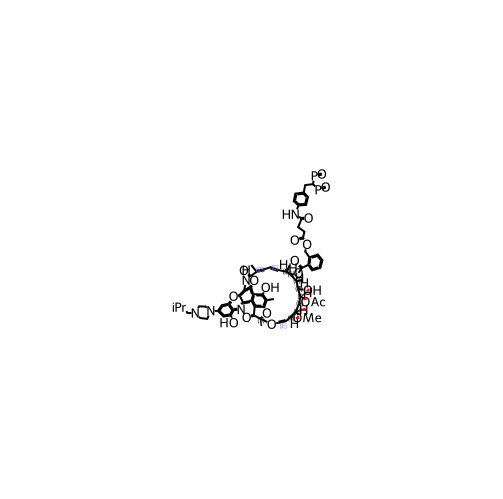 CO[C@H]1/C=C/O[C@@]2(C)Oc3c(C)c(O)c4c(=O)c(c5oc6cc(N7CCN(CC(C)C)CC7)cc(O)c6nc-5c4c3C2=O)NC(=O)/C(C)=C\C=C\[C@H](C)[C@H](OC(=O)c2ccccc2COC(=O)CCC(=O)Nc2ccc(CC(P=O)P=O)cc2)[C@@H](C)[C@@H](O)[C@@H](C)[C@H](OC(C)=O)[C@@H]1C